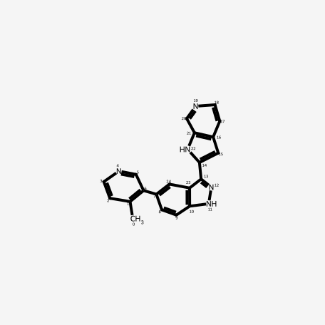 Cc1ccncc1-c1ccc2[nH]nc(-c3cc4ccncc4[nH]3)c2c1